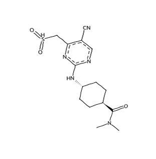 CN(C)C(=O)[C@H]1CC[C@H](Nc2ncc(C#N)c(C[SH](=O)=O)n2)CC1